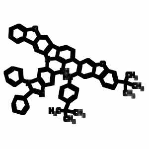 CC(C)(C)c1ccc(Nc2cc3c(cc2-c2ccc4c5cc6oc7ccccc7c6cc5n5c4c2Bc2cc4nc(-c6ccccc6)n(-c6ccccc6)c4cc2-5)oc2cc(C(C)(C)C)ccc23)cc1